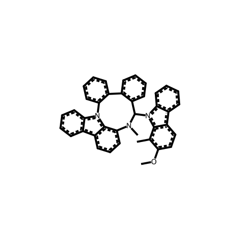 COc1ccc2c3ccccc3n(C3c4ccccc4-c4ccccc4-n4c5ccccc5c5cccc(c54)N3C)c2c1C